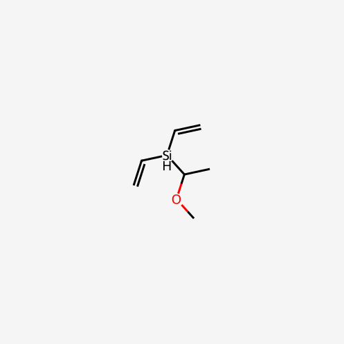 C=C[SiH](C=C)C(C)OC